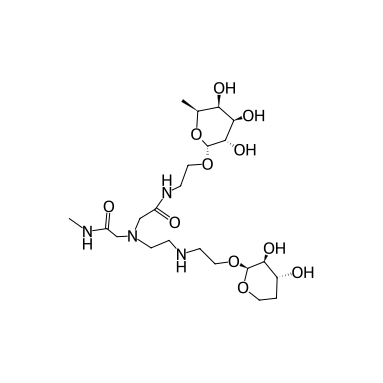 CNC(=O)CN(CCNCCO[C@@H]1OCC[C@@H](O)[C@@H]1O)CC(=O)NCCO[C@@H]1O[C@@H](C)[C@@H](O)[C@@H](O)[C@@H]1O